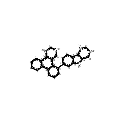 c1ccc2c(c1)c1cccc(-c3ccc4c(c3)sc3cncnc34)c1c1cncnc21